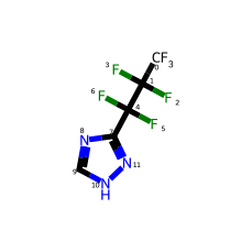 FC(F)(F)C(F)(F)C(F)(F)c1nc[nH]n1